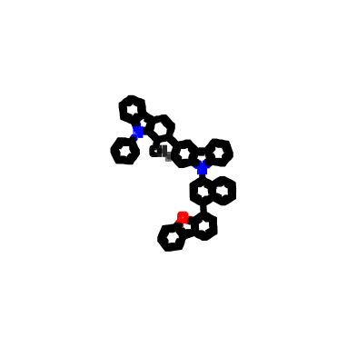 CC1c2c(c3ccccc3n2-c2ccccc2)C=CC1c1ccc2c(c1)c1ccccc1n2-c1ccc(-c2cccc3c2oc2ccccc23)c2ccccc12